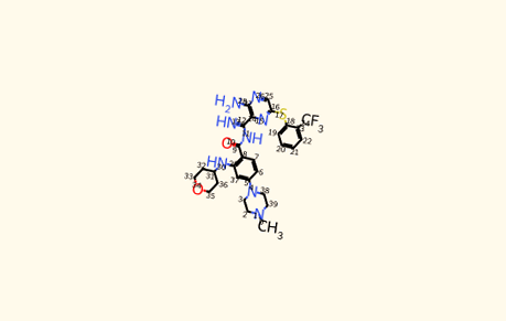 CN1CCN(c2ccc(C(=O)NC(=N)c3nc(Sc4ccccc4C(F)(F)F)cnc3N)c(NC3CCOCC3)c2)CC1